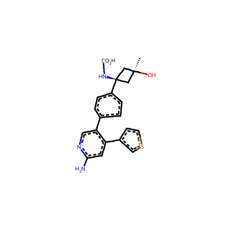 C[C@]1(O)C[C@](NC(=O)O)(c2ccc(-c3cnc(N)cc3-c3ccsc3)cc2)C1